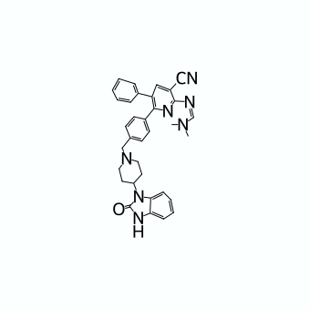 CN(C)/C=N\c1nc(-c2ccc(CN3CCC(n4c(=O)[nH]c5ccccc54)CC3)cc2)c(-c2ccccc2)cc1C#N